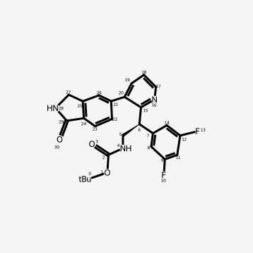 CC(C)(C)OC(=O)NC[C@H](c1cc(F)cc(F)c1)c1ncccc1-c1ccc2c(c1)CNC2=O